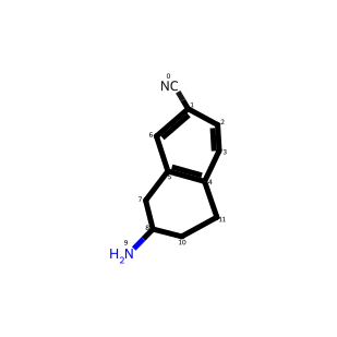 N#Cc1ccc2c(c1)CC(N)CC2